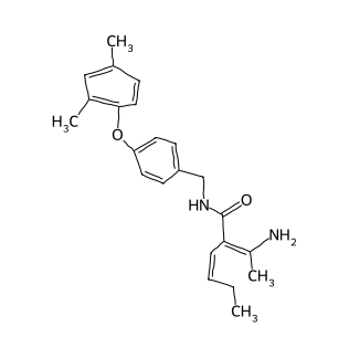 CC/C=C\C(C(=O)NCc1ccc(Oc2ccc(C)cc2C)cc1)=C(/C)N